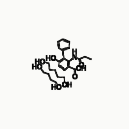 CCC(=O)Nc1c(C(=O)O)ccc(O)c1-c1ccccc1.OCCCCCO.OCCCCO